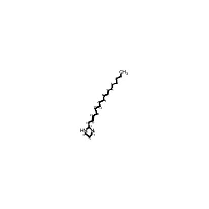 CCCCCCCCCCCCCCC=CCC1N=CCCN1